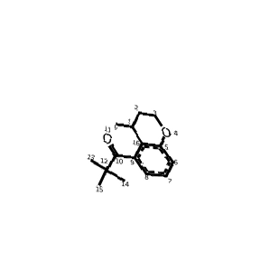 CC1CCOc2cccc(C(=O)C(C)(C)C)c21